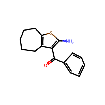 Nc1sc2c(c1C(=O)c1ccccc1)CCCCC2